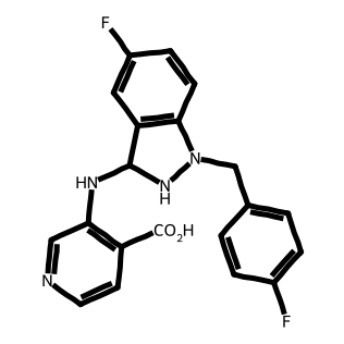 O=C(O)c1ccncc1NC1NN(Cc2ccc(F)cc2)c2ccc(F)cc21